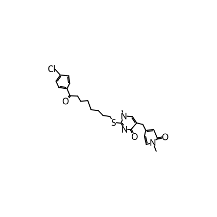 Cn1cc(Cc2ccn(C)c(=O)c2)c(=O)nc1SCCCCCCCC(=O)c1ccc(Cl)cc1